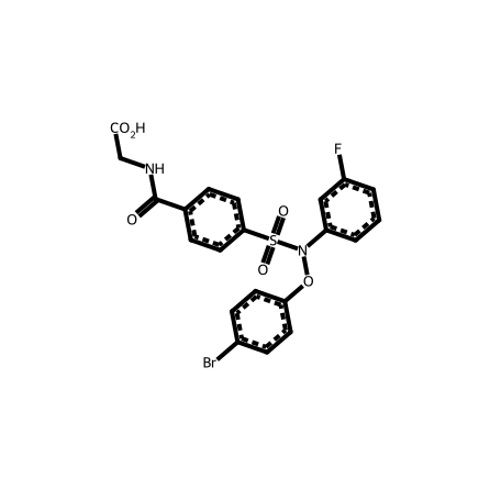 O=C(O)CNC(=O)c1ccc(S(=O)(=O)N(Oc2ccc(Br)cc2)c2cccc(F)c2)cc1